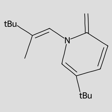 C=C1C=CC(C(C)(C)C)=CN1/C=C(\C)C(C)(C)C